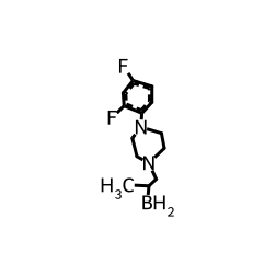 BC(C)CN1CCN(c2ccc(F)cc2F)CC1